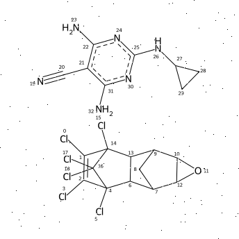 ClC1=C(Cl)C2(Cl)C3C4CC(C5OC45)C3C1(Cl)C2(Cl)Cl.N#Cc1c(N)nc(NC2CC2)nc1N